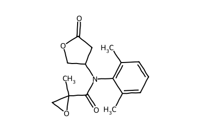 Cc1cccc(C)c1N(C(=O)C1(C)CO1)C1COC(=O)C1